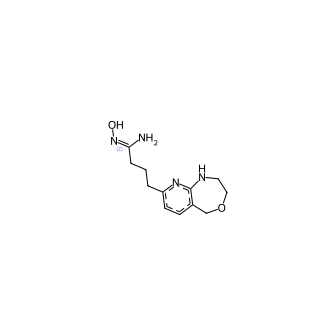 N/C(CCCc1ccc2c(n1)NCCOC2)=N\O